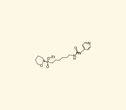 CCOP(=O)(CCCCCCNC(=O)Nc1ccncc1)N1CCCCO1